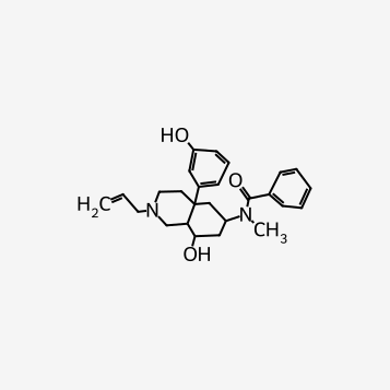 C=CCN1CCC2(c3cccc(O)c3)CC(N(C)C(=O)c3ccccc3)CC(O)C2C1